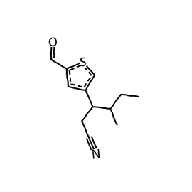 CCC(C)C(CC#N)c1csc(C=O)c1